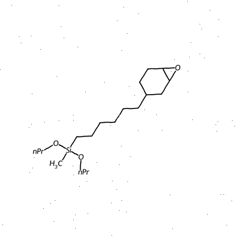 CCCO[Si](C)(CCCCCCC1CCC2OC2C1)OCCC